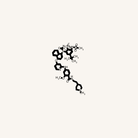 COc1cc(Nc2cc(Oc3ccc(N(C(N)=O)c4cc(C(C)(C)C)cc(NS(C)(=O)=O)c4OC)c4ccccc34)ccn2)ccc1C(=O)NCCC1CCN(C)CC1